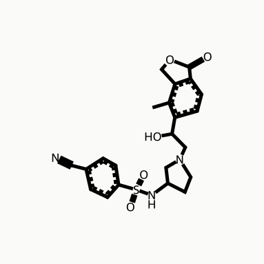 Cc1c(C(O)CN2CCC(NS(=O)(=O)c3ccc(C#N)cc3)C2)ccc2c1COC2=O